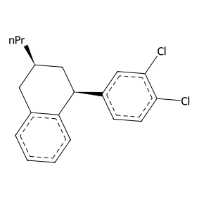 CCC[C@@H]1Cc2ccccc2[C@H](c2ccc(Cl)c(Cl)c2)C1